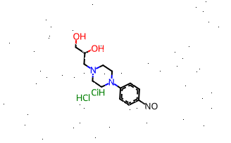 Cl.Cl.O=Nc1ccc(N2CCN(CC(O)CO)CC2)cc1